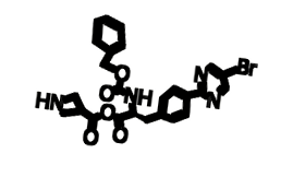 O=C(N[C@@H](Cc1ccc(-c2ncc(Br)cn2)cc1)C(=O)OC(=O)C1CNC1)OCc1ccccc1